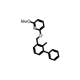 COc1cccc(OCc2cccc(-c3ccccc3)c2C)n1